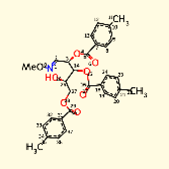 CON=C[C@@H](OC(=O)c1ccc(C)cc1)[C@@H](OC(=O)c1ccc(C)cc1)[C@H](O)COC(=O)c1ccc(C)cc1